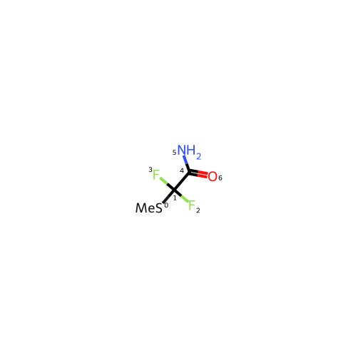 CSC(F)(F)C(N)=O